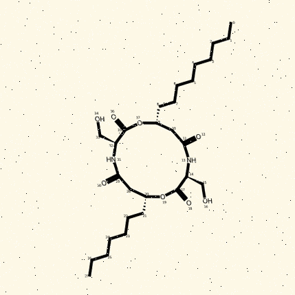 CCCCCCCCC[C@@H]1CC(=O)N[C@@H](CO)C(=O)O[C@H](CCCCCCC)CC(=O)N[C@@H](CO)C(=O)O1